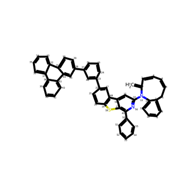 C=C1/C=C\C=C/Cc2ccccc2N1c1cc2c(sc3ccc(-c4cccc(-c5ccc6c7ccccc7c7ccccc7c6c5)c4)cc32)c(-c2ccccc2)n1